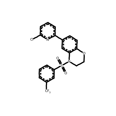 O=S(=O)(c1cccc(C(F)(F)F)c1)N1CCOc2ccc(-c3cccc(Cl)n3)cc21